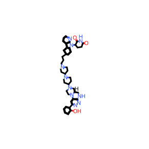 O=C1CCC(n2c3ccc(CCCN4CCC(N5CCC(N6CCN7c8cc(-c9ccccc9O)nnc8NC[C@H]7C6)CC5)CC4)cc3c3cccnc32)C(=O)N1